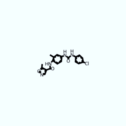 Cc1cc(NC(=O)Nc2ccc(Cl)cc2)ccc1NC(=O)c1cnoc1C